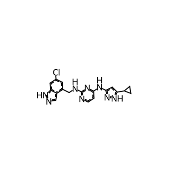 Clc1cc(CNc2nccc(Nc3cc(C4CC4)[nH]n3)n2)c2cn[nH]c2c1